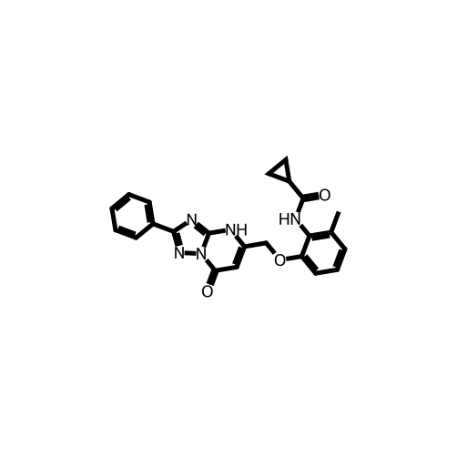 Cc1cccc(OCc2cc(=O)n3nc(-c4ccccc4)nc3[nH]2)c1NC(=O)C1CC1